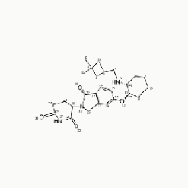 CC1(C)CC(CN[C@@H]2CCCC[C@H]2Oc2ccc3c(c2)CN(C2CCC(=O)NC2=O)C3=O)C1